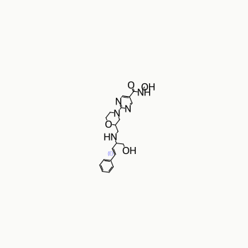 O=C(NO)c1cnc(N2CCOC(CNC(/C=C/c3ccccc3)CO)C2)nc1